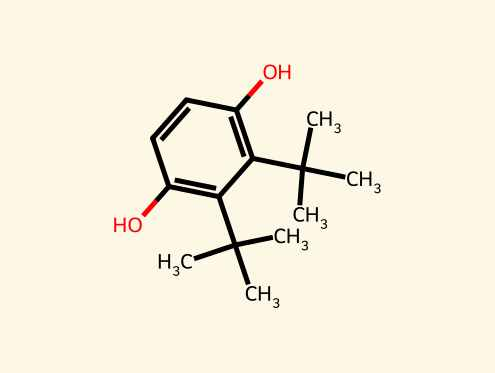 CC(C)(C)c1c(O)ccc(O)c1C(C)(C)C